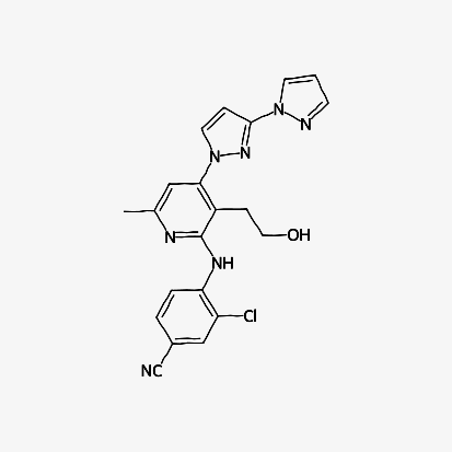 Cc1cc(-n2ccc(-n3cccn3)n2)c(CCO)c(Nc2ccc(C#N)cc2Cl)n1